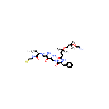 CC(C)(CCOC(C)(C)CCC(=O)N[C@@H](Cc1ccccc1)C(=O)NC[C@H](N)C(=O)C(N)CN[C@@H](CC(=O)O)C(=O)NCCS)OCCN